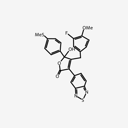 COc1ccc(CC2=C(c3ccc4nsnc4c3)C(=O)OC2(O)c2ccc(SC)cc2)cc1F